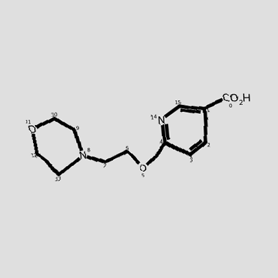 O=C(O)c1ccc(OCCN2CCOCC2)nc1